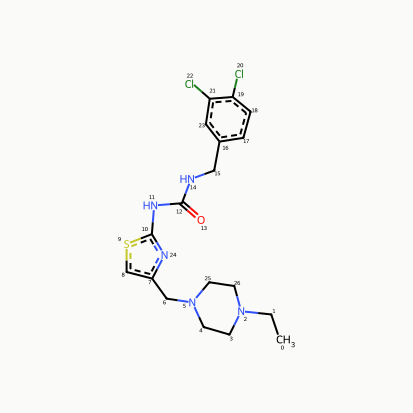 CCN1CCN(Cc2csc(NC(=O)NCc3ccc(Cl)c(Cl)c3)n2)CC1